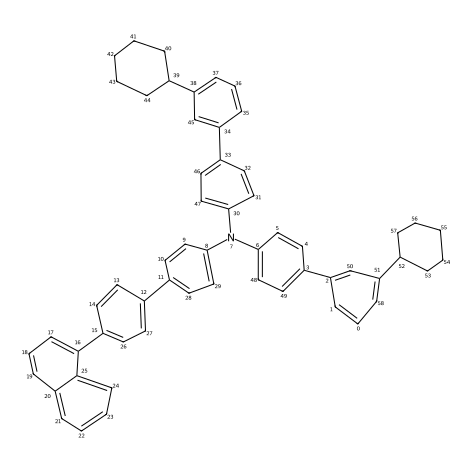 c1cc(-c2ccc(N(c3ccc(-c4ccc(-c5cccc6ccccc56)cc4)cc3)c3ccc(-c4cccc(C5CCCCC5)c4)cc3)cc2)cc(C2CCCCC2)c1